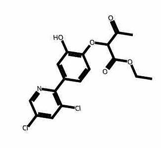 CCOC(=O)C(Oc1ccc(-c2ncc(Cl)cc2Cl)cc1O)C(C)=O